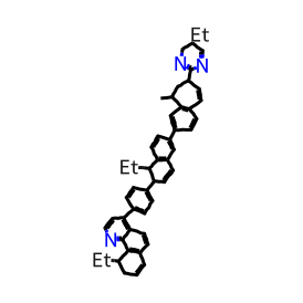 CCC1C=NC(C2C=Cc3ccc(-c4ccc5c(c4)C=CC(c4ccc(-c6ccnc7c8c(ccc67)C=CCC8CC)cc4)C5CC)cc3C(C)C2)=NC1